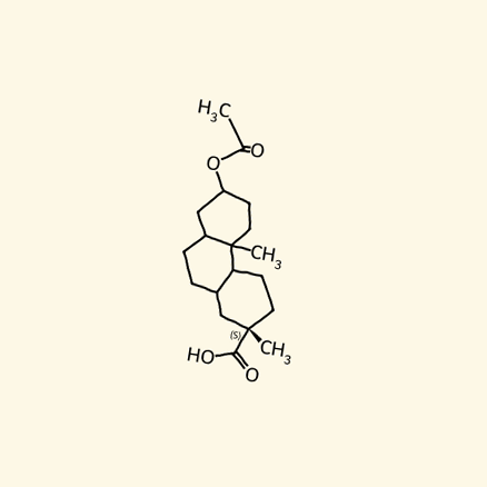 CC(=O)OC1CCC2(C)C(CCC3C[C@@](C)(C(=O)O)CCC32)C1